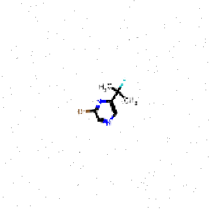 CC(C)(F)c1cncc(Br)n1